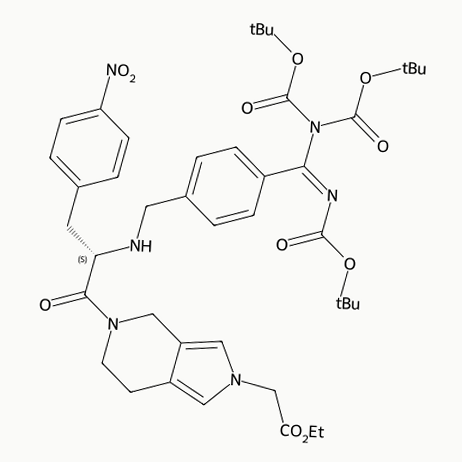 CCOC(=O)Cn1cc2c(c1)CN(C(=O)[C@H](Cc1ccc([N+](=O)[O-])cc1)NCc1ccc(C(=NC(=O)OC(C)(C)C)N(C(=O)OC(C)(C)C)C(=O)OC(C)(C)C)cc1)CC2